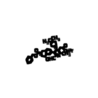 Cc1nc(C=O)c(-c2ccc3c(c2)CCN(C(=O)OCc2ccccc2)C3)c(N2CCC(C)(C)CC2)c1CC(=O)OC(C)C